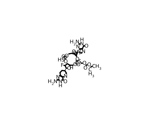 CC(C)OC(=O)OCSP1(=O)OC[C@H]2O[C@@H](C3C=Nc4c(nc(N)[nH]c4=O)CC3)C(F)C2OP(=O)(S)OCC2OC(n3cnc4c(=O)[nH]c(N)nc43)C(O1)C2O